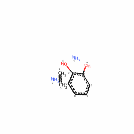 C=C.N.N.Oc1ccccc1O